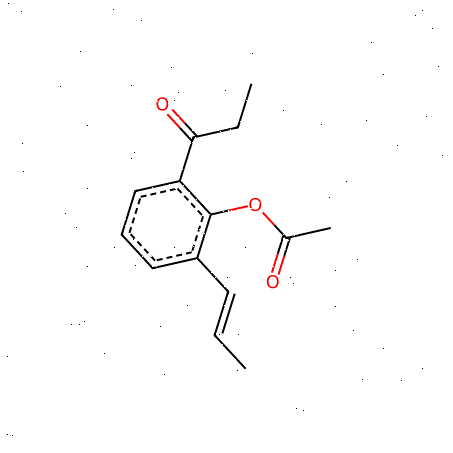 CC=Cc1cccc(C(=O)CC)c1OC(C)=O